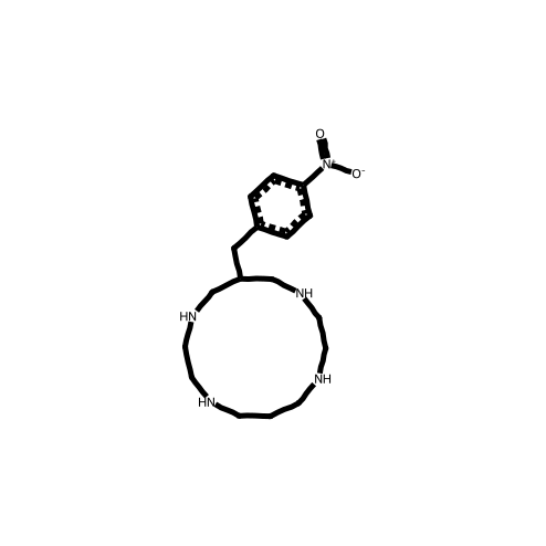 O=[N+]([O-])c1ccc(CC2CNCCNCCCNCCNC2)cc1